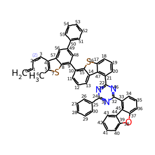 C=C/C=C\c1c(C)sc2c(-c3cccc4c3sc3cccc(-c5nc(-c6ccccc6)nc(-c6cccc7oc8ccccc8c67)n5)c34)cc(-c3ccccc3)cc12